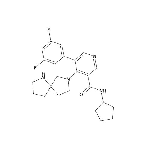 O=C(NC1CCCC1)c1cncc(-c2cc(F)cc(F)c2)c1N1CCC2(CCCN2)C1